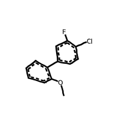 COc1[c]cccc1-c1ccc(Cl)c(F)c1